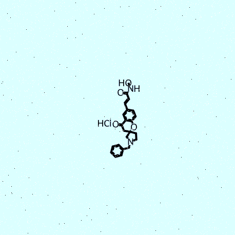 Cl.O=C(/C=C/c1ccc2c(c1)C(=O)CC1(CCN(Cc3ccccc3)C1)O2)NO